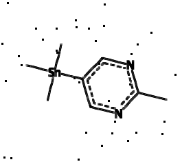 Cc1nc[c]([Sn]([CH3])([CH3])[CH3])cn1